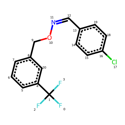 FC(F)(F)c1cccc(CO/N=[C]\c2ccc(Cl)cc2)c1